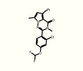 CCc1cc(OC(F)F)ccc1-c1nn2c(C)cc(C(C)C)c2c(=O)n1C